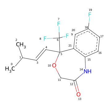 CC(C)C=CC1(C(F)(F)F)OCC(=O)Nc2ccc(F)cc21